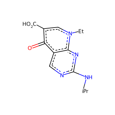 CCn1cc(C(=O)O)c(=O)c2cnc(NC(C)C)nc21